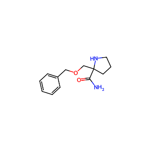 NC(=O)C1(COCc2ccccc2)CCCN1